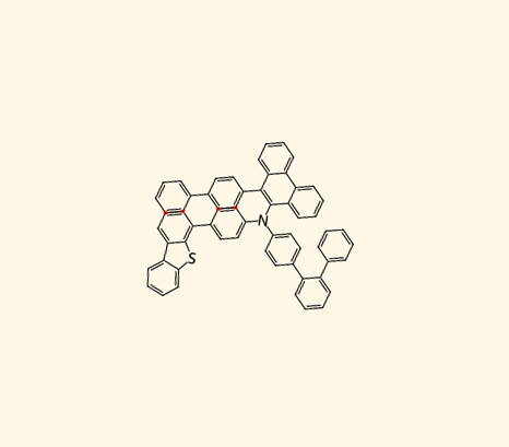 c1ccc(-c2ccc(-c3c(N(c4ccc(-c5ccccc5-c5ccccc5)cc4)c4ccc(-c5cccc6c5sc5ccccc56)cc4)c4ccccc4c4ccccc34)cc2)cc1